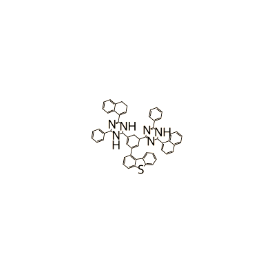 C1=C(C2=NC(c3ccccc3)NC(C3=CC(c4cccc5sc6ccccc6c45)=CC(C4=NC(c5cccc6ccccc56)NC(c5ccccc5)=N4)C3)N2)c2ccccc2CC1